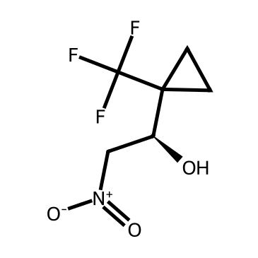 O=[N+]([O-])C[C@H](O)C1(C(F)(F)F)CC1